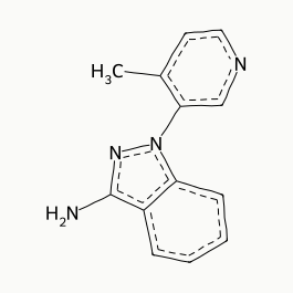 Cc1ccncc1-n1nc(N)c2ccccc21